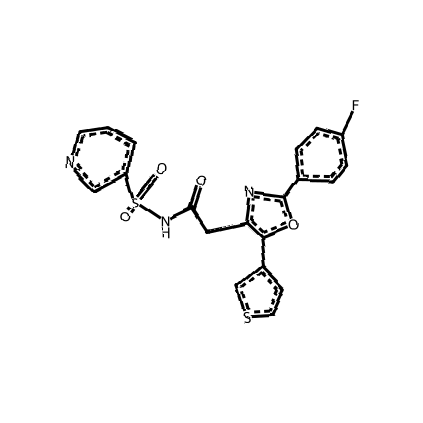 O=C(Cc1nc(-c2ccc(F)cc2)oc1-c1ccsc1)NS(=O)(=O)c1cccnc1